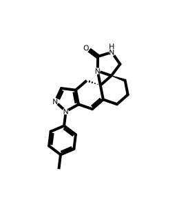 Cc1ccc(-n2ncc3c2C=C2CCC[C@]45CNC(=O)N4[C@]25C3)cc1